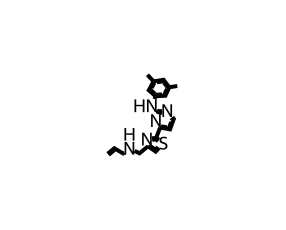 C=CCNCc1csc(-c2ccnc(Nc3cc(C)cc(C)c3)n2)n1